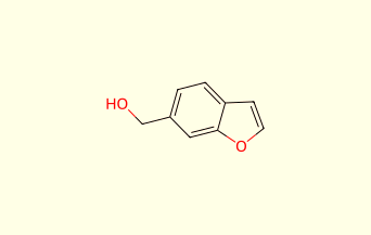 OCc1ccc2ccoc2c1